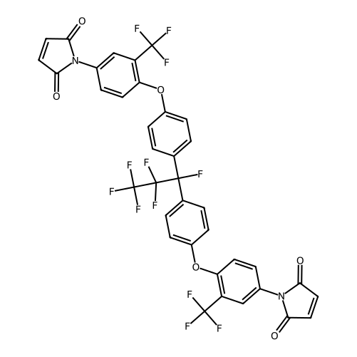 O=C1C=CC(=O)N1c1ccc(Oc2ccc(C(F)(c3ccc(Oc4ccc(N5C(=O)C=CC5=O)cc4C(F)(F)F)cc3)C(F)(F)C(F)(F)F)cc2)c(C(F)(F)F)c1